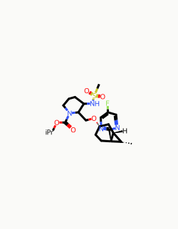 CC(C)OC(=O)N1CCCC(NS(C)(=O)=O)C1CO[C@H]1CC[C@]2(c3ncc(F)cn3)[C@H](C1)[C@@H]2C